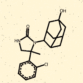 CC1(c2ccccc2Cl)CNC(=O)N1C1C2CC3CC1CC(O)(C3)C2